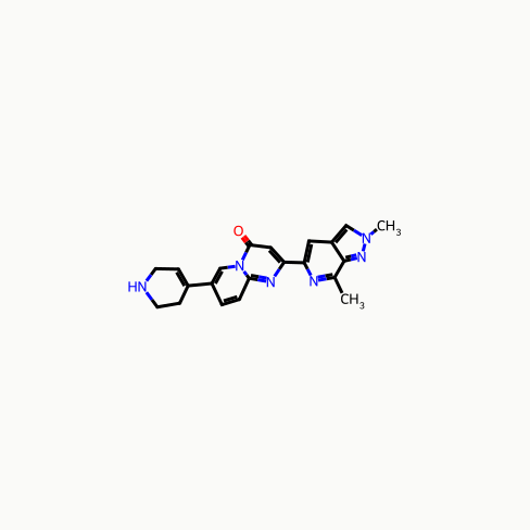 Cc1nc(-c2cc(=O)n3cc(C4=CCNCC4)ccc3n2)cc2cn(C)nc12